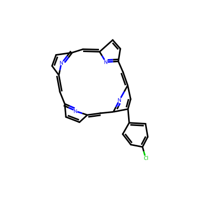 Clc1ccc(C2=CC3=CC4=NC(=CC5=NC(=CC6=NC(=CC2=N3)C=C6)C=C5)C=C4)cc1